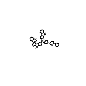 CC1(C)c2ccccc2-c2ccc(N(c3ccc(-c4ccc(-c5ccccc5)cc4)cc3)c3ccc4c(c3)-c3c(ccc5c3sc3ccccc35)C4(C)C)cc21